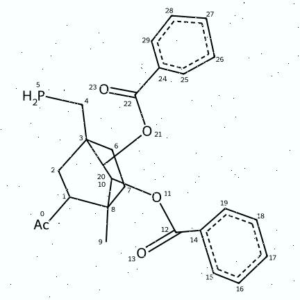 CC(=O)C1CC2(CP)CCC1(C)C(OC(=O)c1ccccc1)C2OC(=O)c1ccccc1